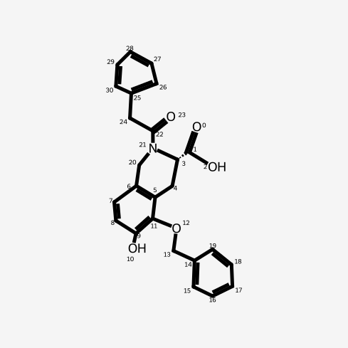 O=C(O)[C@@H]1Cc2c(ccc(O)c2OCc2ccccc2)CN1C(=O)Cc1ccccc1